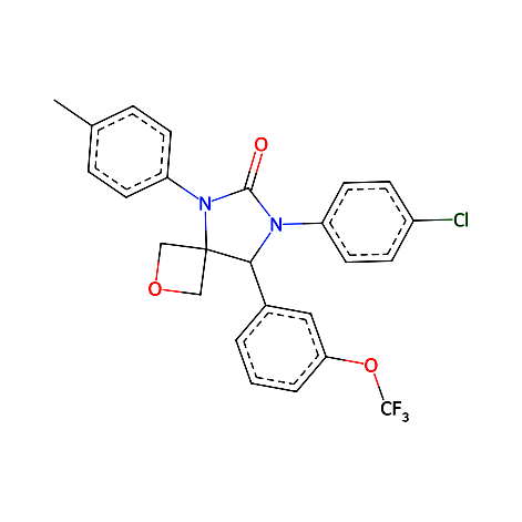 Cc1ccc(N2C(=O)N(c3ccc(Cl)cc3)C(c3cccc(OC(F)(F)F)c3)C23COC3)cc1